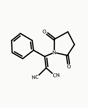 N#CC(C#N)=C(c1ccccc1)N1C(=O)CCC1=O